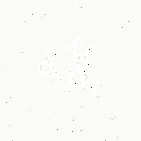 NC(=O)C[C@H](NS(=O)(=O)N[C@@H](CO)C(=O)O)c1nc(-c2cc(F)ccc2F)no1